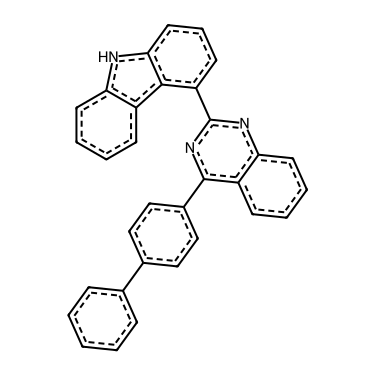 c1ccc(-c2ccc(-c3nc(-c4cccc5[nH]c6ccccc6c45)nc4ccccc34)cc2)cc1